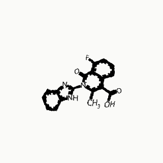 Cc1c(C(=O)O)c2cccc(F)c2c(=O)n1-c1nc2ccccc2[nH]1